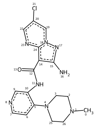 CN1CCN(c2ccncc2NC(=O)c2c(N)nn3cc(Cl)cnc23)CC1